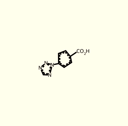 O=C(O)c1ccc(-n2ncnn2)cc1